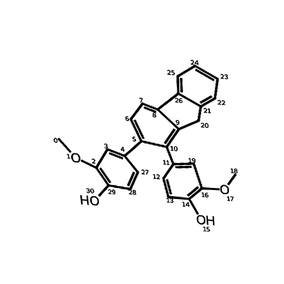 COc1cc(-c2ccc3c(c2-c2ccc(O)c(OC)c2)Cc2ccccc2-3)ccc1O